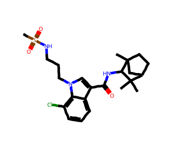 CC12CCC(C1)C(C)(C)C2NC(=O)c1cn(CCCNS(C)(=O)=O)c2c(Cl)cccc12